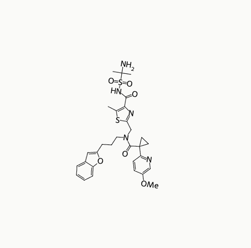 COc1ccc(C2(C(=O)N(CCCc3cc4ccccc4o3)Cc3nc(C(=O)NS(=O)(=O)C(C)(C)N)c(C)s3)CC2)nc1